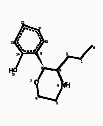 CCCC1NCCO[C@@H]1c1ccccc1O